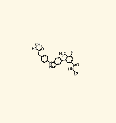 CNC(=O)Cc1ccc(-n2ncc3cc(-c4cc(C(=O)NC5CC5)cc(F)c4C)ccc32)cc1